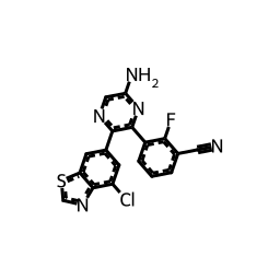 N#Cc1cccc(-c2nc(N)cnc2-c2cc(Cl)c3ncsc3c2)c1F